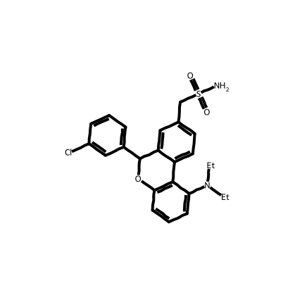 CCN(CC)c1cccc2c1-c1ccc(CS(N)(=O)=O)cc1C(c1cccc(Cl)c1)O2